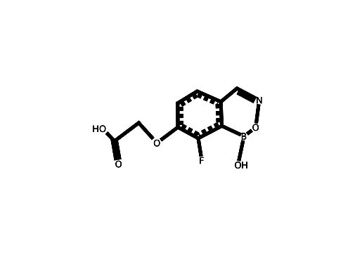 O=C(O)COc1ccc2c(c1F)B(O)ON=C2